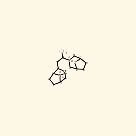 CC(CC1OCC2CCC1N2C(C)C)N1CC2CCC(C1)O2